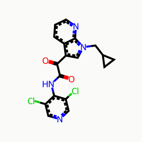 O=C(Nc1c(Cl)cncc1Cl)C(=O)c1cn(CC2CC2)c2ncccc12